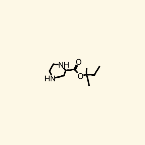 CCC(C)(C)OC(=O)C1CNCCN1